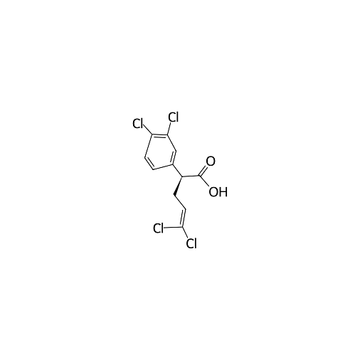 O=C(O)[C@@H](CC=C(Cl)Cl)c1ccc(Cl)c(Cl)c1